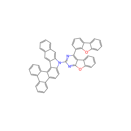 c1ccc2cc3c(cc2c1)c1c2c4ccccc4c4ccccc4c2ccc1n3-c1nc(-c2cccc3c2oc2ccccc23)c2c(n1)oc1ccccc12